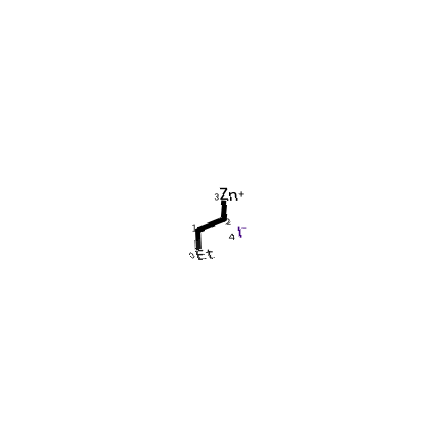 CCC[CH2][Zn+].[I-]